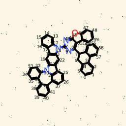 c1ccc2c(c1)CC(c1nc(-n3c4ccccc4c4cc5c(cc43)c3cccc4c3n5-c3ccccc3-c3ccccc3-4)nc3oc4ccccc4c13)c1ccccc1-2